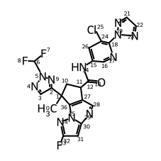 CC1(c2cnn(C(F)F)n2)CC(C(=O)Nc2cnc(-n3nccn3)c(Cl)c2)c2cnc3cc(F)nn3c21